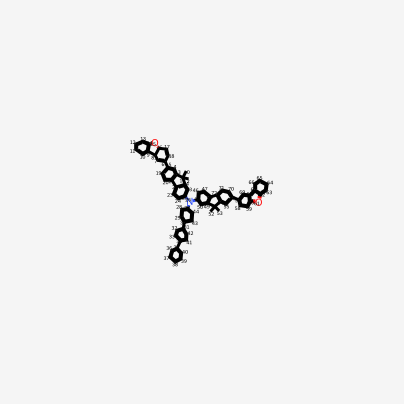 CC1(C)c2cc(C3=CC4c5ccccc5OC4C=C3)ccc2-c2ccc(N(c3ccc(-c4ccc(-c5ccccc5)cc4)cc3)c3ccc4c(c3)C(C)(C)c3cc(-c5ccc6oc7ccccc7c6c5)ccc3-4)cc21